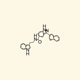 O=C(NCCc1c[nH]c2ccccc12)c1ccc2[nH]nc(-c3ccc4ccccc4c3)c2c1